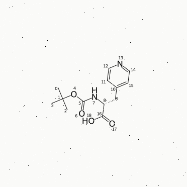 CC(C)(C)OC(=O)N[C@H](Cc1ccncc1)C(=O)O